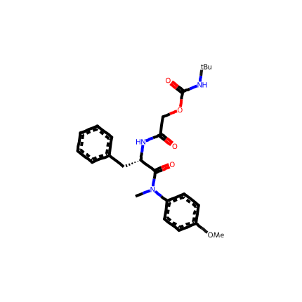 COc1ccc(N(C)C(=O)[C@H](Cc2ccccc2)NC(=O)COC(=O)NC(C)(C)C)cc1